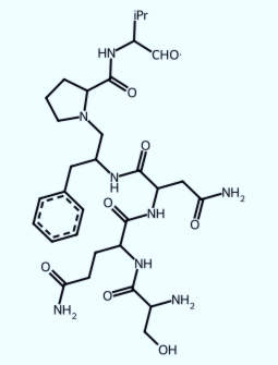 CC(C)C([C]=O)NC(=O)C1CCCN1CC(Cc1ccccc1)NC(=O)C(CC(N)=O)NC(=O)C(CCC(N)=O)NC(=O)C(N)CO